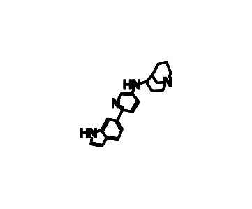 c1cc2ccc(-c3ccc(NC4CCN5CCCC4C5)cn3)cc2[nH]1